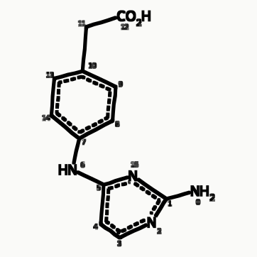 Nc1nccc(Nc2ccc(CC(=O)O)cc2)n1